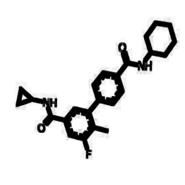 Cc1c(F)cc(C(=O)NC2CC2)cc1-c1ccc(C(=O)NC2CCCCC2)cc1